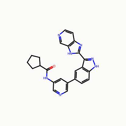 O=C(Nc1cncc(-c2ccc3[nH]nc(-c4nc5ccncc5[nH]4)c3c2)c1)C1CCCC1